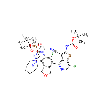 CCS(=O)(=O)c1nc(N2C3CCC2CN(C[C@@H](C)O[Si](C)(C)C(C)(C)C)C3)c2c3c(c(-c4ncc(F)c5sc(NC(=O)OC(C)(C)C)c(C#N)c45)c(F)c2n1)COC3